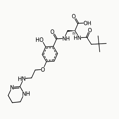 CC(C)(C)CC(=O)N[C@@H](CNC(=O)c1ccc(OCCNC2=NCCCN2)cc1O)C(=O)O